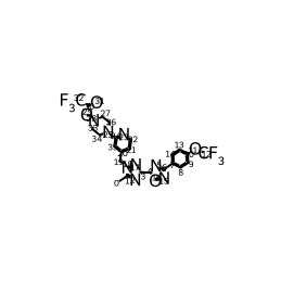 Cc1nc(-c2nc(-c3ccc(OC(F)(F)F)cc3)no2)nn1Cc1ccnc(N2CCN(OC(=O)C(F)(F)F)CC2)c1